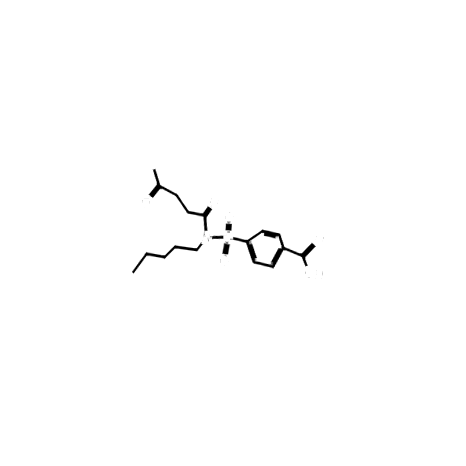 CCCCCN(C(=O)CCC(C)=O)S(=O)(=O)c1ccc(C(=O)O)cc1